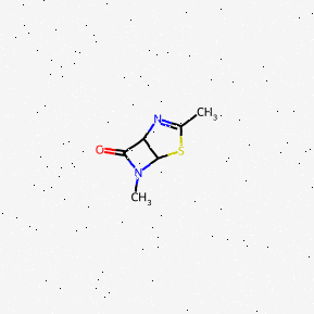 CC1=NC2C(=O)N(C)C2S1